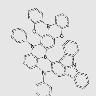 c1ccc(N2c3cccc4c3B(c3cc5c6c(c3N4c3ccccc3)Oc3ccccc3B6c3ccccc3O5)c3c2cc2c4ccccc4n4c5ccccc5c3c24)cc1